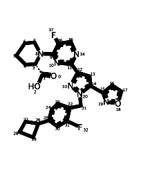 O=C(O)[C@@H]1CCCCN1c1nc(-c2cc(-c3ccon3)n(Cc3ccc(C4CCC4)cc3F)n2)ncc1F